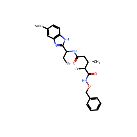 COc1ccc2[nH]c(C(CC(C)C)NC(=O)C[C@H](C)[C@@H](C(=O)NOCc3ccccc3)C(C)C)nc2c1